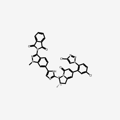 C[C@H]1Cc2cc(-c3cc(Cl)ccc3-n3cc(Cl)nn3)cc(=O)n2[C@@H]1c1ncc(-c2ccc3c(N4C(=O)c5ccccc5C4=O)nn(C)c3c2)[nH]1